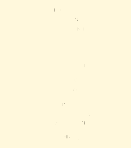 Cc1cc(-c2ccc(C(=O)C3CCCCC3C(=O)Nc3cnn4c3C(=O)NCC4)c(F)c2)[nH]n1